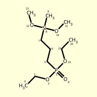 CCOP(=O)(CCC[Si](C)(OC)OC)OCC